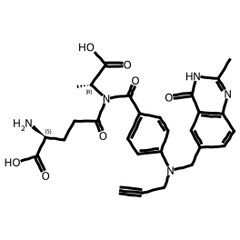 C#CCN(Cc1ccc2nc(C)[nH]c(=O)c2c1)c1ccc(C(=O)N(C(=O)CC[C@H](N)C(=O)O)[C@H](C)C(=O)O)cc1